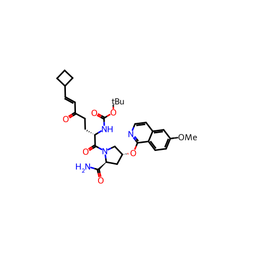 COc1ccc2c(O[C@@H]3C[C@@H](C(N)=O)N(C(=O)[C@H](CCC(=O)/C=C/C4CCC4)NC(=O)OC(C)(C)C)C3)nccc2c1